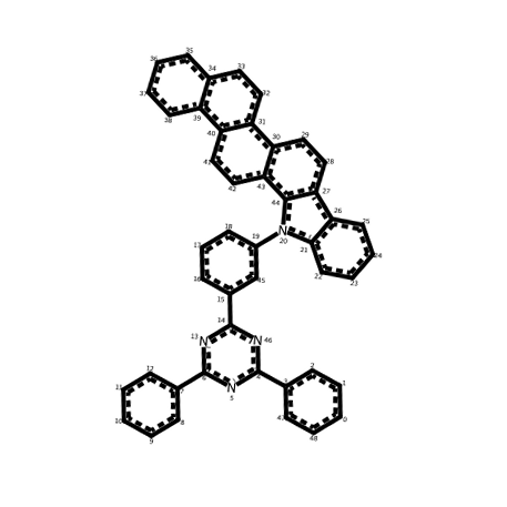 c1ccc(-c2nc(-c3ccccc3)nc(-c3cccc(-n4c5ccccc5c5ccc6c7ccc8ccccc8c7ccc6c54)c3)n2)cc1